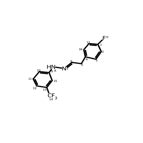 Fc1ccc(CC=NNc2cccc(C(F)(F)F)c2)cc1